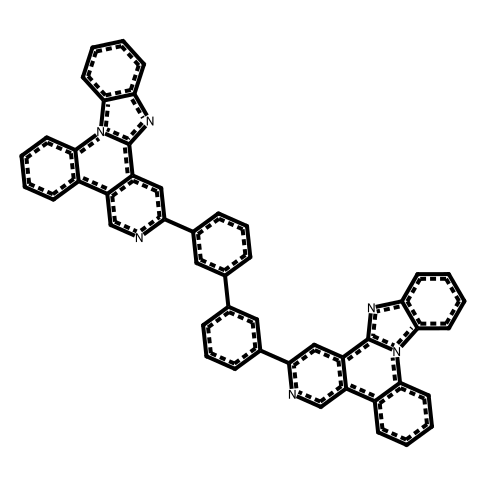 c1cc(-c2cccc(-c3cc4c(cn3)c3ccccc3n3c5ccccc5nc43)c2)cc(-c2cc3c(cn2)c2ccccc2n2c4ccccc4nc32)c1